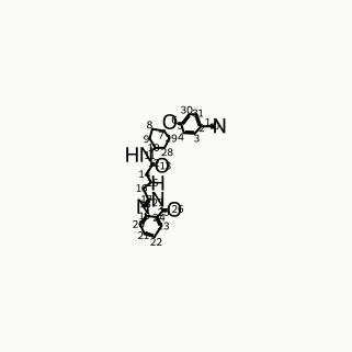 N#Cc1ccc(OC2CCC(NC(=O)CCCc3nc4ccccc4c(=O)[nH]3)CC2)cc1